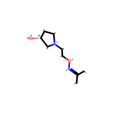 CC(C)=NOCCN1CC[C@@H](O)C1